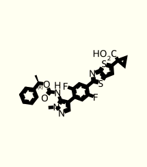 C[C@@H](OC(=O)Nc1c(-c2cc(F)c(-c3nc4sc(C5(C(=O)O)CC5)cc4s3)cc2F)cnn1C)c1ccccc1